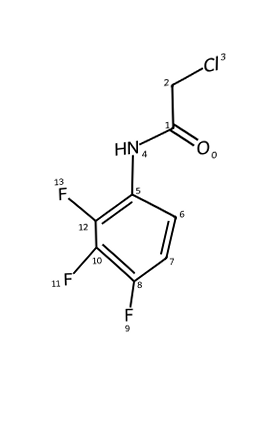 O=C(CCl)Nc1ccc(F)c(F)c1F